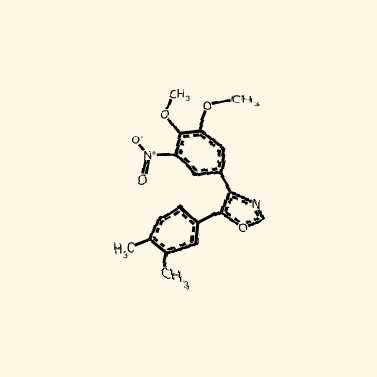 COc1cc(-c2ncoc2-c2ccc(C)c(C)c2)cc([N+](=O)[O-])c1OC